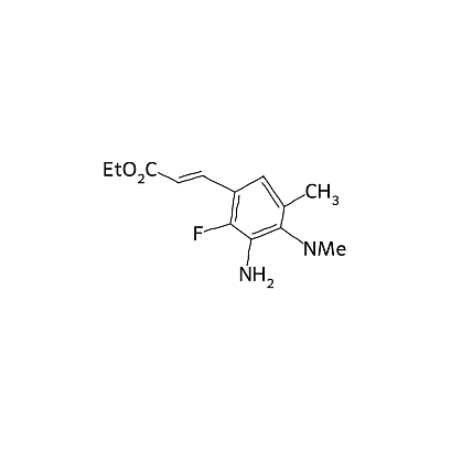 CCOC(=O)/C=C/c1cc(C)c(NC)c(N)c1F